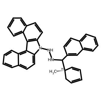 C[C@]1(C(NNn2c3ccc4ccccc4c3c3c4ccccc4ccc32)c2ccc3ccccc3c2)C=CC=CC1